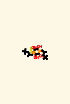 CC(CP1C(O)C(O)[P](CC(C)CC(C)(C)C)(SS)C(O)C1O)CC(C)(C)C